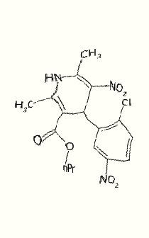 CCCOC(=O)C1=C(C)NC(C)=C([N+](=O)[O-])C1c1cc([N+](=O)[O-])ccc1Cl